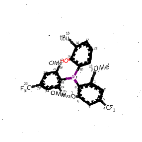 COc1cc(C(F)(F)F)cc(OC)c1P(c1cccc(C(C)(C)C)c1O)c1c(OC)cc(C(F)(F)F)cc1OC